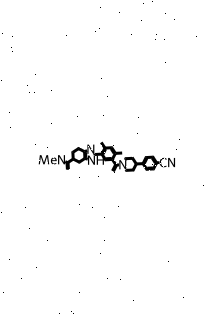 C=C(NC)C1CCc2nc(-c3cc(C(=C)N4CCC(c5ccc(C#N)cc5)CC4)c(C)cc3C)[nH]c2C1